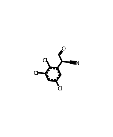 N#CC(C=O)c1cc(Cl)cc(Cl)c1Cl